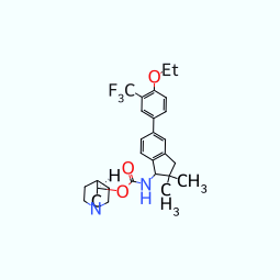 CCOc1ccc(-c2ccc3c(c2)CC(C)(C)C3NC(=O)O[C@H]2CN3CCC2CC3)cc1C(F)(F)F